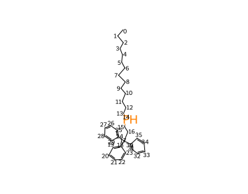 CCCCCCCCCCCCCCPCCC(c1ccccc1)(c1ccccc1)c1ccccc1